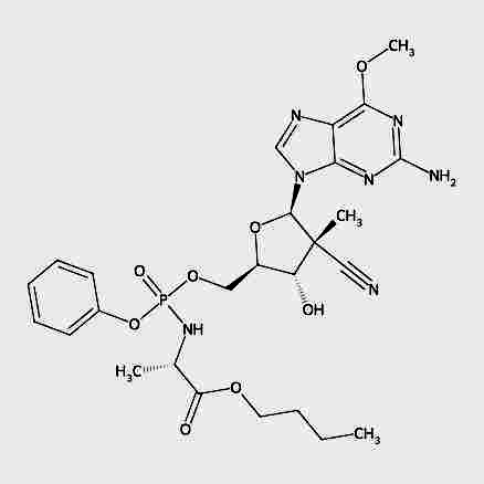 CCCCOC(=O)[C@H](C)NP(=O)(OC[C@H]1O[C@@H](n2cnc3c(OC)nc(N)nc32)[C@](C)(C#N)[C@@H]1O)Oc1ccccc1